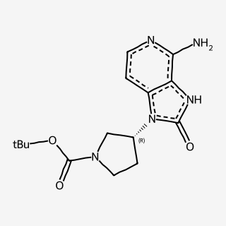 CC(C)(C)OC(=O)N1CC[C@@H](n2c(=O)[nH]c3c(N)nccc32)C1